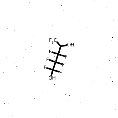 OC(C(F)(F)F)C(F)(F)C(F)(F)C(O)(F)F